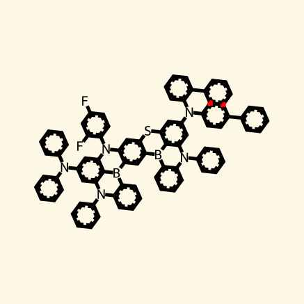 Fc1ccc(N2c3cc4c(cc3B3c5ccccc5N(c5ccccc5)c5cc(N(c6ccccc6)c6ccccc6)cc2c53)B2c3ccccc3N(c3ccccc3)c3cc(N(c5ccc(-c6ccccc6)cc5)c5ccccc5-c5ccccc5)cc(c32)S4)c(F)c1